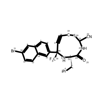 CC(C)C[C@@H]1N[C@@](c2ccc3cc(Br)ccc3c2)(C(F)(F)F)C#CCSC(C#N)NC1=O